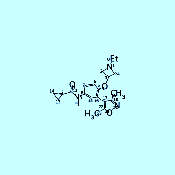 CCN1CC(Oc2ccc(NC(=O)C3CC3)cc2-c2c(C)noc2C)C1